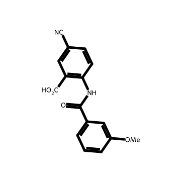 COc1cccc(C(=O)Nc2ccc(C#N)cc2C(=O)O)c1